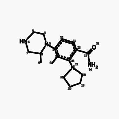 Cc1c(N2CCNCC2C)ccc(C(N)=O)c1N1CCCC1